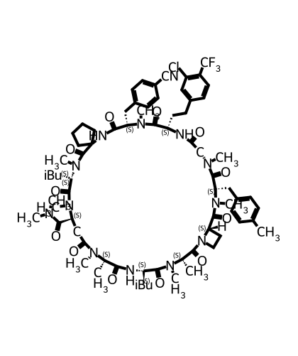 CC[C@H](C)[C@@H]1NC(=O)[C@H](C)N(C)C(=O)C[C@@H](C(=O)N(C)C)N(C)C(=O)[C@H]([C@@H](C)CC)N(C)C(=O)C2(CCCC2)NC(=O)[C@H](Cc2ccc(C#N)cc2)N(C)C(=O)[C@H](CCc2ccc(C(F)(F)F)c(Cl)c2)NC(=O)CN(C)C(=O)[C@H](Cc2ccc(C)cc2)N(C)C(=O)[C@@H]2CCN2C(=O)[C@H](C)N(C)C1=O